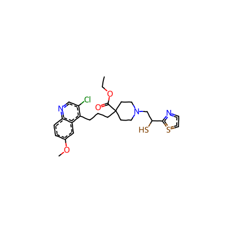 CCOC(=O)C1(CCCc2c(Cl)cnc3ccc(OC)cc23)CCN(CC(S)c2nccs2)CC1